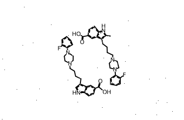 Cc1[nH]c2ccc(C(=O)O)cc2c1CCCCN1CCN(c2ccccc2F)CC1.O=C(O)c1ccc2[nH]cc(CCCCN3CCN(c4ccccc4F)CC3)c2c1